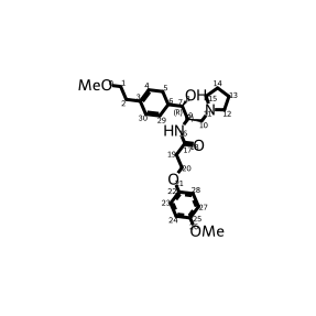 COCCC1=CCC([C@@H](O)[C@@H](CN2CCCC2)NC(=O)CCOc2ccc(OC)cc2)C=C1